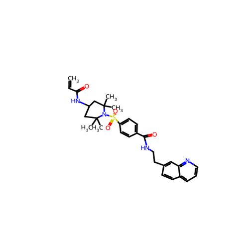 C=CC(=O)NC1CC(C)(C)N(S(=O)(=O)c2ccc(C(=O)NCCc3ccc4cccnc4c3)cc2)C(C)(C)C1